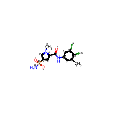 Cc1cc(NC(=O)c2cc(S(N)(=O)=O)cn2C)cc(F)c1F